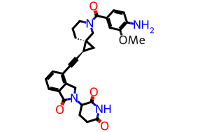 COc1cc(C(=O)N2CCC[C@@]3(C[C@H]3C#Cc3cccc4c3CN(C3CCC(=O)NC3=O)C4=O)C2)ccc1N